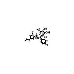 CCC[C@@H]1C[C@@H](C(=O)N[C@H](c2ccc(Cl)cc2)[C@H]2O[C@H](SC)[C@H](O)[C@@H](O)[C@H]2O)N(C)C1